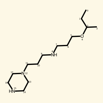 CCC(C)OCCCNCCCN1CCNCC1